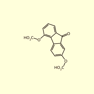 O=C(O)Oc1ccc2c(c1)C(=O)c1cccc(OC(=O)O)c1-2